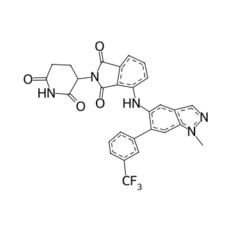 Cn1ncc2cc(Nc3cccc4c3C(=O)N(C3CCC(=O)NC3=O)C4=O)c(-c3cccc(C(F)(F)F)c3)cc21